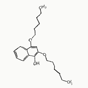 CCCCCCOc1cc(OCCCCCC)c2ccccc2c1O